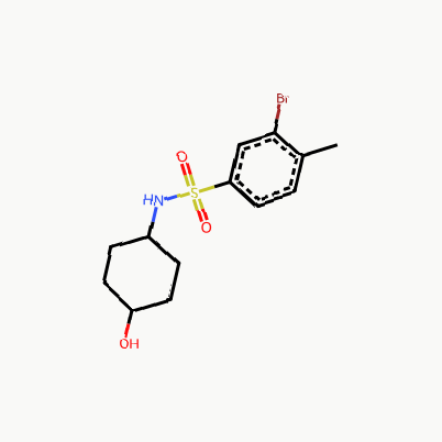 Cc1ccc(S(=O)(=O)NC2CCC(O)CC2)cc1Br